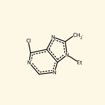 [CH2]c1nc2c(Cl)ncnc2n1CC